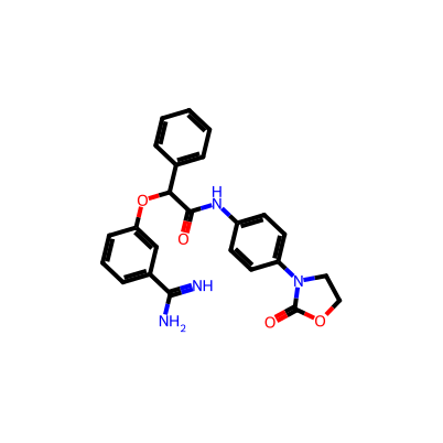 N=C(N)c1cccc(OC(C(=O)Nc2ccc(N3CCOC3=O)cc2)c2ccccc2)c1